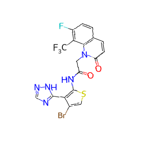 O=C(Cn1c(=O)ccc2ccc(F)c(C(F)(F)F)c21)Nc1scc(Br)c1-c1ncn[nH]1